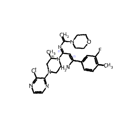 C=C(/N=C(\C=C(/N)c1ccc(C)c(F)c1)N1CCN(c2nccnc2Cl)C[C@H]1C)N1CCOCC1